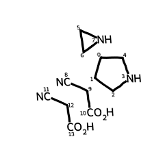 C1CCNC1.C1CN1.N#CCC(=O)O.N#CCC(=O)O